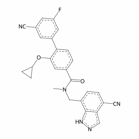 CN(Cc1ccc(C#N)c2cn[nH]c12)C(=O)c1ccc(-c2cc(F)cc(C#N)c2)c(OC2CC2)c1